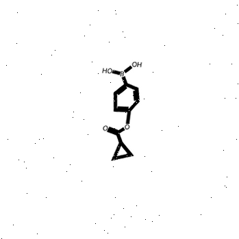 O=C(Oc1ccc(B(O)O)cc1)C1CC1